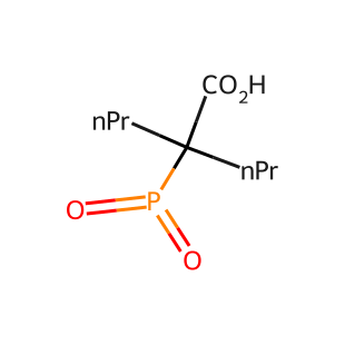 CCCC(CCC)(C(=O)O)P(=O)=O